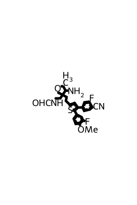 COc1ccc(-c2sc(CCC3(CCNC=O)COC(C)C3N)cc2-c2ccc(C#N)c(F)c2)cc1F